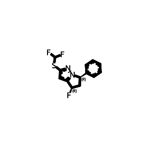 FC(F)Sc1cc2n(n1)[C@@H](c1ccccc1)C[C@H]2F